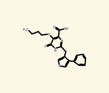 CCCCOc1c(C(=O)O)nc(Cc2cscc2-c2ccccc2)[nH]c1=O